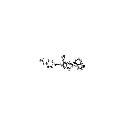 CC(C)CN1CCC(C#Cc2nc3ccc(-c4ccnc5[nH]ccc45)nc3n2C2CC2)CC1